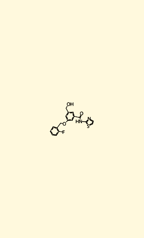 O=C(Nc1nccs1)c1cc(CO)cc(OCc2ccccc2F)c1